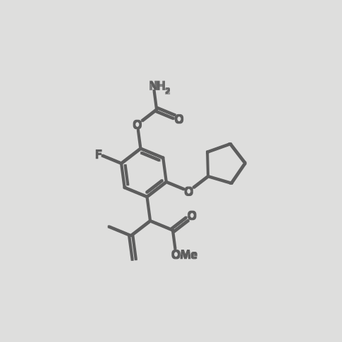 C=C(C)C(C(=O)OC)c1cc(F)c(OC(N)=O)cc1OC1CCCC1